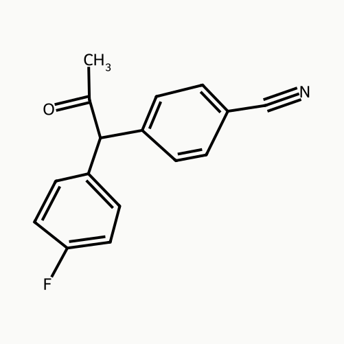 CC(=O)C(c1ccc(F)cc1)c1ccc(C#N)cc1